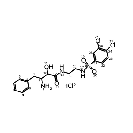 Cl.NC(Cc1ccccc1)C(O)C(=O)NCCNS(=O)(=O)c1ccc(Cl)c(Cl)c1